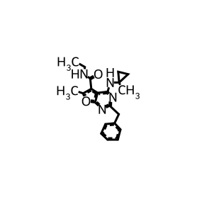 CCNC(=O)c1c(C)oc2nc(Cc3ccccc3)nc(NC3(C)CC3)c12